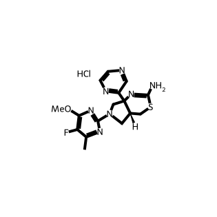 COc1nc(N2C[C@H]3CSC(N)=NC3(c3cnccn3)C2)nc(C)c1F.Cl